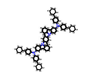 c1cc2c3cc(N(c4ccc(C5CCCCC5)cc4)c4ccc(C5CCCCC5)cc4)ccc3n3c4cc5c6cccc7c8cc(N(c9ccc(C%10CCCCC%10)cc9)c9ccc(C%10CCCCC%10)cc9)ccc8n(c5cc4c(c1)c23)c76